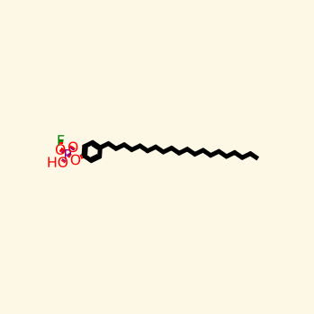 CCCCCCCCCCCCCCCCCCCCc1ccc(OP(=O)(O)OF)cc1